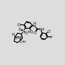 O=C(Nc1ccc(Cl)c(S(=O)(=O)C2C[C@H]3CC[C@@H](C2)N3)c1O)Nc1cccc(F)c1Cl